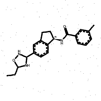 CCC1NC(c2ccc3c(c2)CC[C@H]3NC(=O)c2cccc(C)c2)NO1